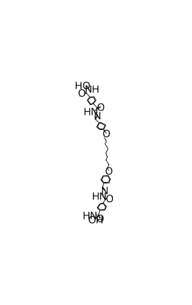 O=C(NO)c1ccc(C(=O)N/N=C/c2ccc(OCCCCCCCCCOc3ccc(/C=N/NC(=O)c4ccc(C(=O)NO)cc4)cc3)cc2)cc1